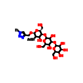 CCn1cc(CO[C@@H]2O[C@H](CO)[C@@H](O[C@@H]3O[C@H](CO)[C@H](O)C(O[C@H]4O[C@H](CO)[C@H](O)C(O)C4O)C3O)C(O)C2NC(C)=O)nn1